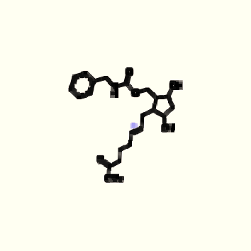 COC(=O)CCC/C=C/CC1C(O)CC(O)C1COC(=O)NCc1ccccc1